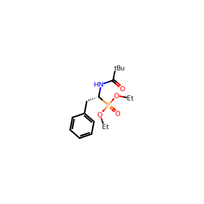 CCOP(=O)(OCC)[C@H](Cc1ccccc1)NC(=O)C(C)(C)C